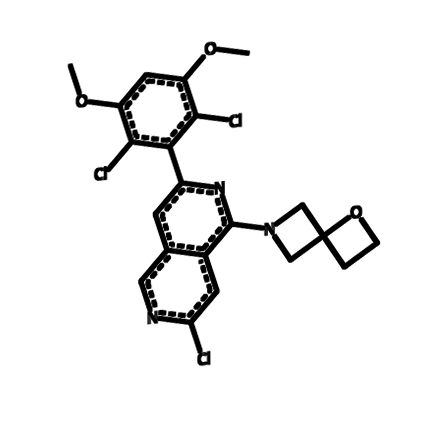 COc1cc(OC)c(Cl)c(-c2cc3cnc(Cl)cc3c(N3CC4(CCO4)C3)n2)c1Cl